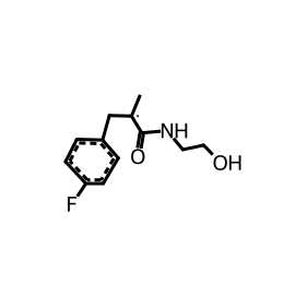 C[C](Cc1ccc(F)cc1)C(=O)NCCO